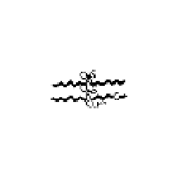 CCCCCCCCN(CCCCCCCC)C([O-])=S.CCCCCCCCN(CCCCCCCC)C([O-])=S.[Cu+2]